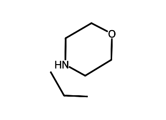 C1COCCN1.CCC